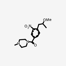 COC(C)Cc1ccc(C(=O)N2CCN(C)CC2)cc1[N+](=O)[O-]